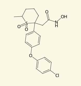 CC1CCCC(CC(=O)NO)(c2ccc(Oc3ccc(Cl)cc3)cc2)S1(=O)=O